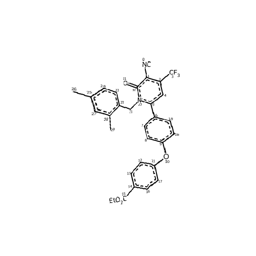 [C-]#[N+]c1c(C(F)(F)F)cc(-c2ccc(Oc3ccc(C(=O)OCC)cc3)cc2)n(Cc2ccc(C)cc2C)c1=O